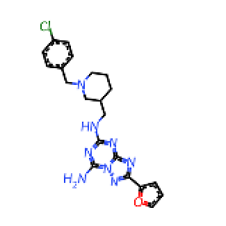 Nc1nc(NCC2CCCN(Cc3ccc(Cl)cc3)C2)nc2nc(-c3ccco3)nn12